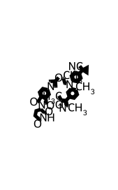 Cc1ccc(-c2c(C)noc2C)cc1N(CC(C)OC1CN(c2ccc3c(c2)C(=O)N(C2CCC(=O)NC2=O)C3=O)C1)c1ccc(C2(C#N)CC2)cc1